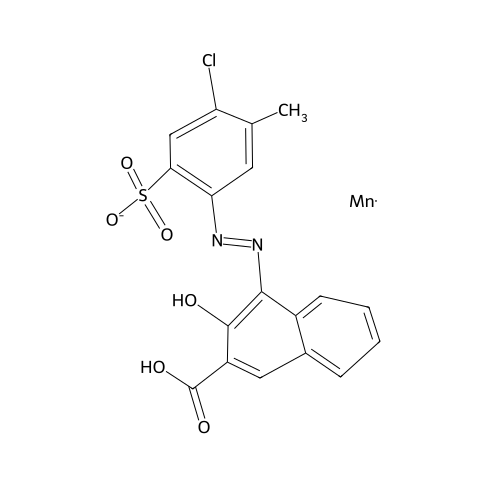 Cc1cc(N=Nc2c(O)c(C(=O)O)cc3ccccc23)c(S(=O)(=O)[O-])cc1Cl.[Mn]